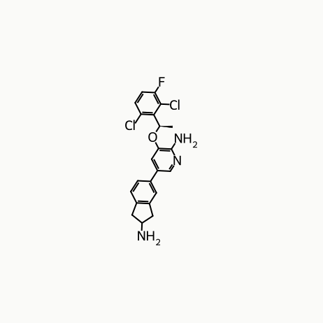 C[C@@H](Oc1cc(-c2ccc3c(c2)CC(N)C3)cnc1N)c1c(Cl)ccc(F)c1Cl